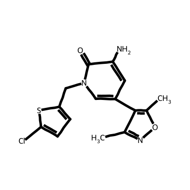 Cc1noc(C)c1-c1cc(N)c(=O)n(Cc2ccc(Cl)s2)c1